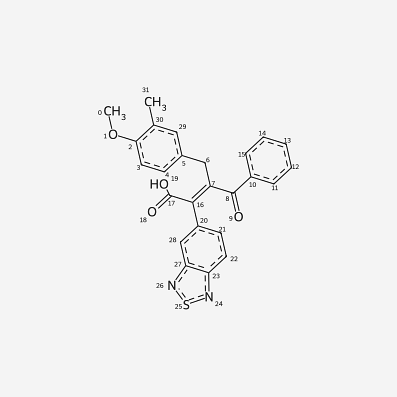 COc1ccc(C/C(C(=O)c2ccccc2)=C(\C(=O)O)c2ccc3nsnc3c2)cc1C